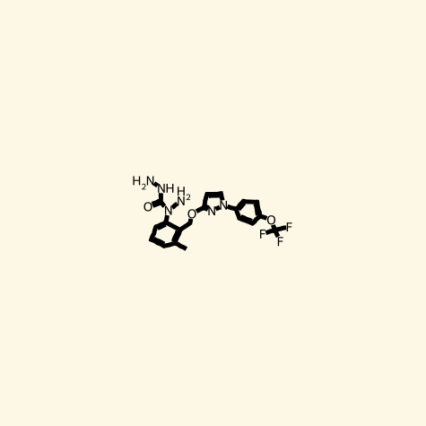 Cc1cccc(N(N)C(=O)NN)c1COc1ccn(-c2ccc(OC(F)(F)F)cc2)n1